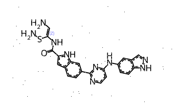 N/C=C(/NC(=O)c1cc2ccc(-c3nccc(Nc4ccc5[nH]ncc5c4)n3)cc2[nH]1)SN